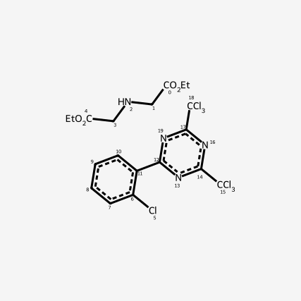 CCOC(=O)CNCC(=O)OCC.Clc1ccccc1-c1nc(C(Cl)(Cl)Cl)nc(C(Cl)(Cl)Cl)n1